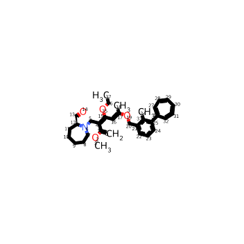 C=C(OC)/C(CN1CCCCC[C@H]1C=O)=C(\C=C(/C)OCc1cccc(C2=CC=CC=C=C2)c1C)OCC